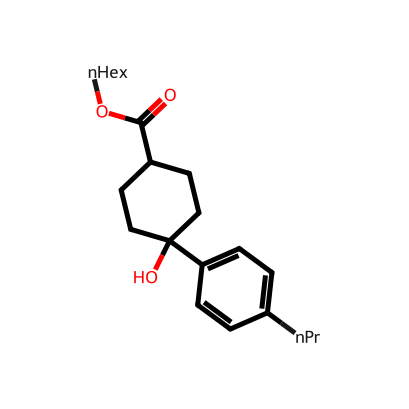 CCCCCCOC(=O)C1CCC(O)(c2ccc(CCC)cc2)CC1